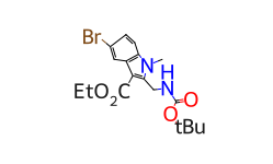 CCOC(=O)c1c(CNC(=O)OC(C)(C)C)n(C)c2ccc(Br)cc12